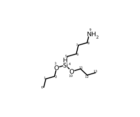 CCCO[SiH](CCCCN)OCCC